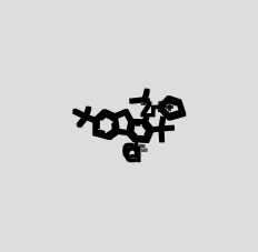 C[C](C)=[Zr+2]([c]1c(C(C)(C)C)ccc2c1Cc1cc(C(C)(C)C)ccc1-2)[CH]1C=CC=C1.[Cl-].[Cl-]